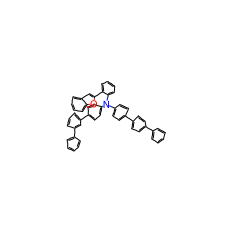 c1ccc(-c2ccc(-c3ccc(N(c4ccc(-c5cccc(-c6ccccc6)c5)cc4)c4ccccc4-c4cc5ccccc5o4)cc3)cc2)cc1